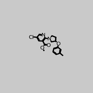 COC(=O)c1cc(Cl)cnc1N1CCC(Oc2cccc(C)c2)C1